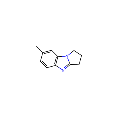 Cc1ccc2nc3n(c2c1)CCC3